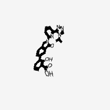 CC(C)n1cnnc1-c1cccc(N2Cc3ccc(-c4cccc(C(=O)O)c4O)cc3C2=O)n1